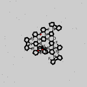 Fc1cccc(F)c1N1c2cc3c(cc2B2c4cc5c(cc4Oc4cc(-n6c7ccccc7c7ccccc76)cc1c42)N(c1c(F)cccc1F)c1cc(-n2c4c(F)cccc4c4cccc(F)c42)cc2c1B5c1sc4ccccc4c1O2)B1c2sc4ccccc4c2N(c2c(F)cccc2F)c2cc(-n4c5c(F)cccc5c5cccc(F)c54)cc(c21)N3c1c(F)cccc1F